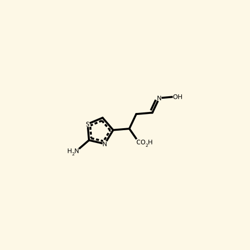 Nc1nc(C(CC=NO)C(=O)O)cs1